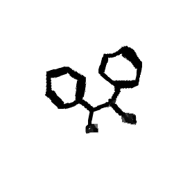 N#CC(c1ccccc1)N(N=O)c1ccccc1